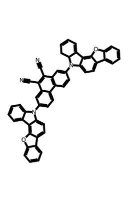 N#Cc1c(C#N)c2cc(-n3c4ccccc4c4c5oc6ccccc6c5ccc43)ccc2c2ccc(N3c4ccc5c(oc6ccccc65)c4C4=CC=CCC43)cc12